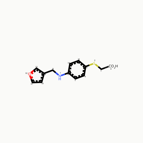 O=C(O)CSc1ccc(NCc2ccoc2)cc1